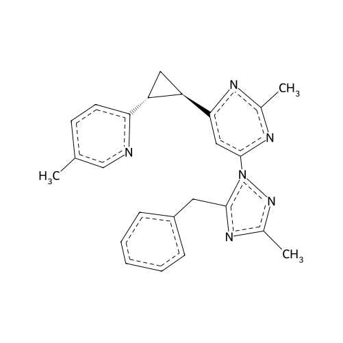 Cc1ccc([C@@H]2C[C@H]2c2cc(-n3nc(C)nc3Cc3ccccc3)nc(C)n2)nc1